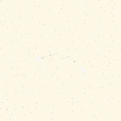 CC(C)(C#N)CCCC(C)(C)C#N